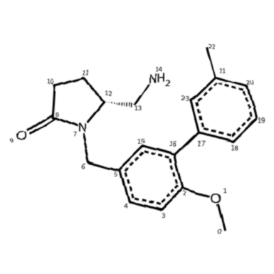 COc1ccc(CN2C(=O)CC[C@@H]2CN)cc1-c1cccc(C)c1